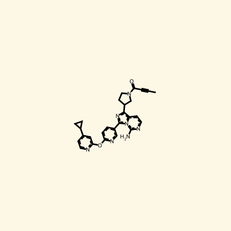 CC#CC(=O)N1CCC(c2nc(-c3ccc(Oc4cc(C5CC5)ccn4)nc3)n3c(N)nccc23)C1